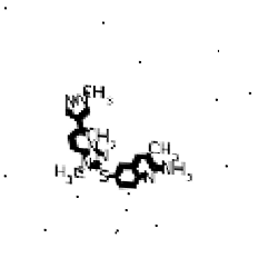 C=C(/C=C\c1nnc(Sc2ccc3nc(N)c(C)cc3c2)n1C)c1cnn(C)c1